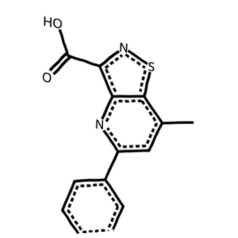 Cc1cc(-c2cccnc2)nc2c(C(=O)O)nsc12